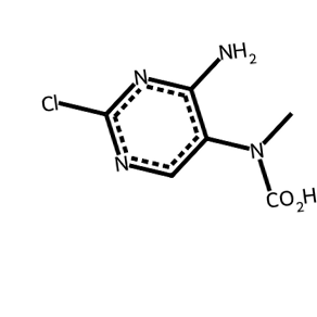 CN(C(=O)O)c1cnc(Cl)nc1N